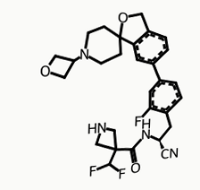 N#C[C@H](Cc1ccc(-c2ccc3c(c2)C2(CCN(C4COC4)CC2)OC3)cc1F)NC(=O)C1(C(F)F)CNC1